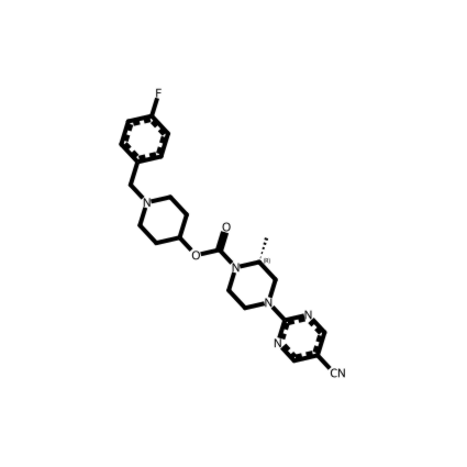 C[C@@H]1CN(c2ncc(C#N)cn2)CCN1C(=O)OC1CCN(Cc2ccc(F)cc2)CC1